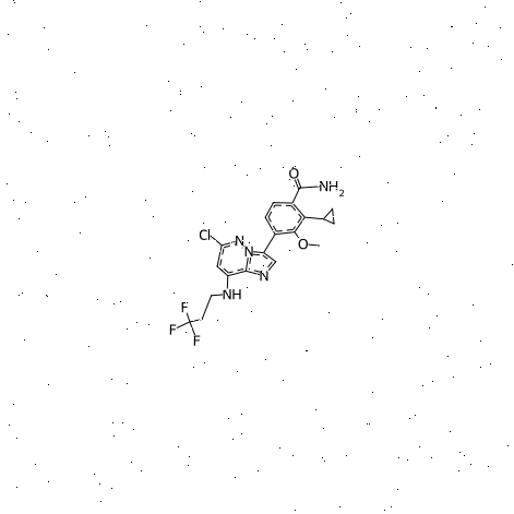 COc1c(-c2cnc3c(NCCC(F)(F)F)cc(Cl)nn23)ccc(C(N)=O)c1C1CC1